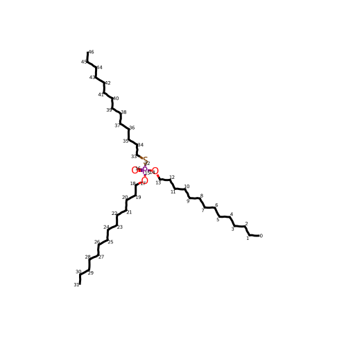 CCCCCCCCCCCCCCOP(=O)(OCCCCCCCCCCCCCC)SCCCCCCCCCCCCCC